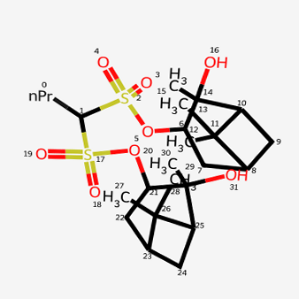 CCCC(S(=O)(=O)OC1CC2CC(C2(C)C)C1(C)O)S(=O)(=O)OC1CC2CC(C2(C)C)C1(C)O